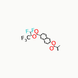 C=C(C)C(=O)Oc1ccc2cc(C(=O)OC(C(F)F)C(F)(F)F)ccc2c1